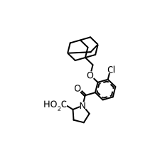 O=C(O)C1CCCN1C(=O)c1cccc(Cl)c1OCC12CC3CC(CC(C3)C1)C2